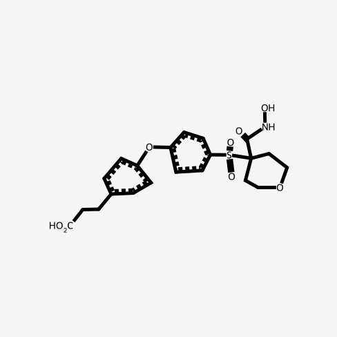 O=C(O)CCc1ccc(Oc2ccc(S(=O)(=O)C3(C(=O)NO)CCOCC3)cc2)cc1